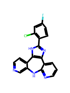 Fc1ccc(-c2nc3c([nH]2)-c2ccncc2Nc2ncccc2-3)c(Cl)c1